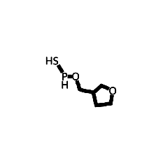 SPOCC1CCOC1